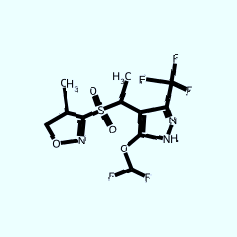 CC1CON=C1S(=O)(=O)C(C)c1c(C(F)(F)F)n[nH]c1OC(F)F